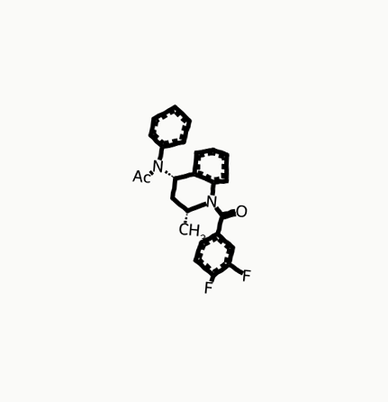 CC(=O)N(c1ccccc1)[C@H]1C[C@@H](C)N(C(=O)c2ccc(F)c(F)c2)c2ccccc21